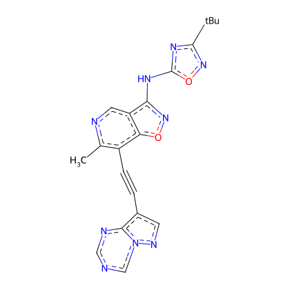 Cc1ncc2c(Nc3nc(C(C)(C)C)no3)noc2c1C#Cc1cnn2cncnc12